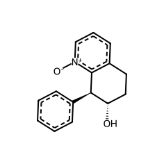 [O-][n+]1cccc2c1[C@H](c1ccccc1)[C@@H](O)CC2